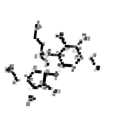 N#CCCOC[C@@]1(O[C@H]2O[C@H](CO)[C@@H](O)[C@H](O)[C@H]2O)O[C@H](CO)[C@@H](O)[C@@H]1O